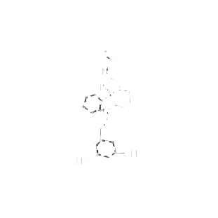 Cc1cc(C)cc(CONC2CCCCC2(NCNC=O)c2ccccc2)c1